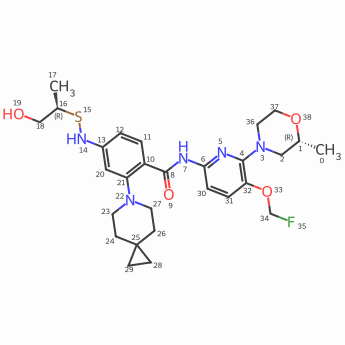 C[C@@H]1CN(c2nc(NC(=O)c3ccc(NS[C@H](C)CO)cc3N3CCC4(CC3)CC4)ccc2OCF)CCO1